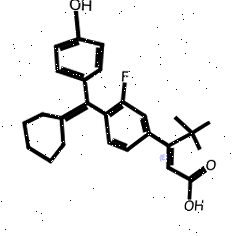 CC(C)(C)/C(=C\C(=O)O)c1ccc(C(=C2CCCCC2)c2ccc(O)cc2)c(F)c1